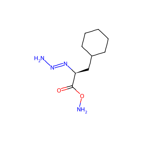 NN=N[C@@H](CC1CCCCC1)C(=O)ON